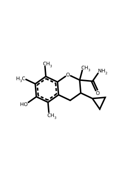 Cc1c(C)c2c(c(C)c1O)CC(C1CC1)C(C)(C(N)=O)O2